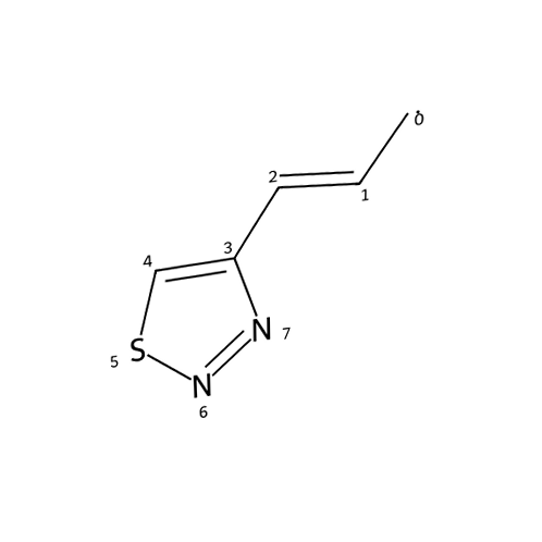 [CH2]C=Cc1csnn1